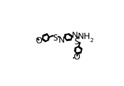 COc1ccc(CSC=Nc2ccc(N=C(N)SCc3ccc(OC)cc3)cc2)cc1